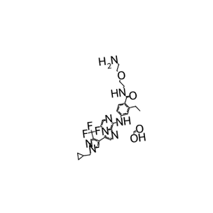 CCc1cc(Nc2nccn3c(-c4cn(CC5CC5)nc4C(F)(F)F)cnc23)ccc1C(=O)NCCOCCN.O=CO